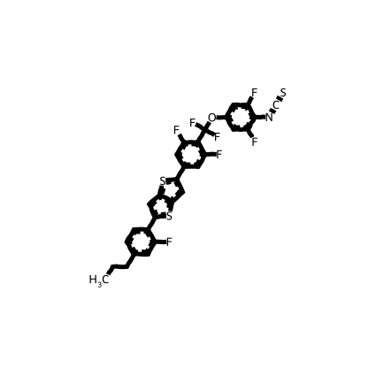 CCCc1ccc(-c2cc3sc(-c4cc(F)c(C(F)(F)Oc5cc(F)c(N=C=S)c(F)c5)c(F)c4)cc3s2)c(F)c1